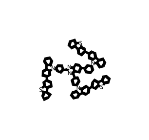 c1cc(-c2ccc3nc(-c4ccc(-n5c6ccccc6c6ccc(-c7ccc8c(c7)sc7ccccc78)cc65)cc4)nc(-c4ccc(-n5c6ccccc6c6ccc(-c7ccc8c(c7)sc7ccccc78)cc65)cc4)c3c2)cc(-n2c3ccccc3c3ccc(-c4ccc5c(c4)sc4ccccc45)cc32)c1